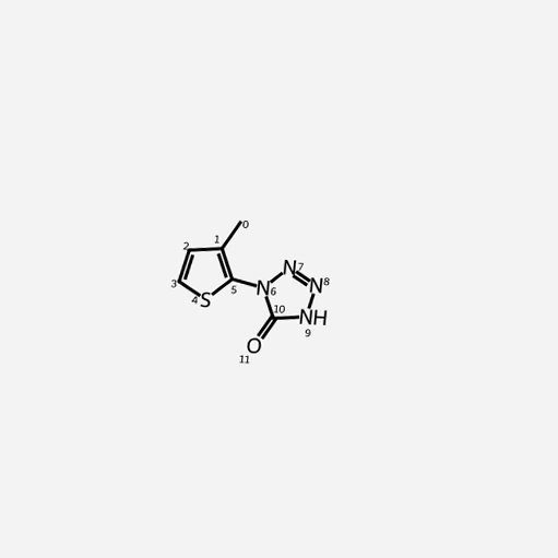 Cc1ccsc1-n1nn[nH]c1=O